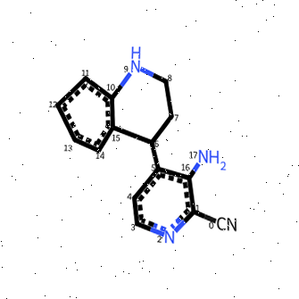 N#Cc1nccc(C2CCNc3ccccc32)c1N